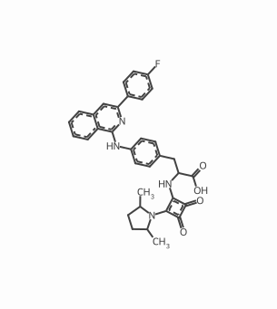 CC1CCC(C)N1c1c(NC(Cc2ccc(Nc3nc(-c4ccc(F)cc4)cc4ccccc34)cc2)C(=O)O)c(=O)c1=O